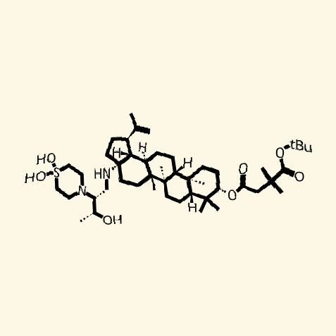 C=C(C)[C@@H]1CC[C@]2(NC[C@H]([C@@H](C)O)N3CCS(O)(O)CC3)CC[C@]3(C)[C@H](CC[C@@H]4[C@@]5(C)CC[C@H](OC(=O)CC(C)(C)C(=O)OC(C)(C)C)C(C)(C)[C@@H]5CC[C@]43C)[C@@H]12